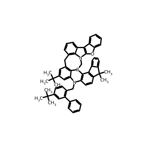 CC(C)(C)c1ccc(CN2c3cc(C(C)(C)C)cc4c3B(Cn3c5oc6ccccc6c5c5cccc(c53)C4)c3c2ccc2c3-c3ccccc3C2(C)C)c(-c2ccccc2)c1